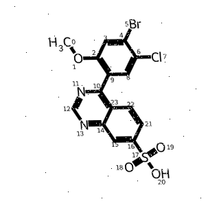 COc1cc(Br)c(Cl)cc1-c1ncnc2cc(S(=O)(=O)O)ccc12